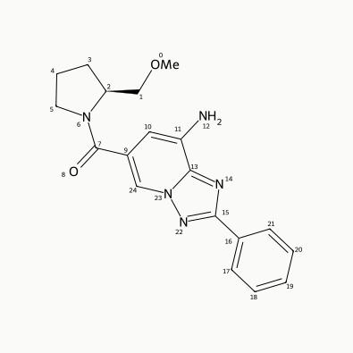 COC[C@@H]1CCCN1C(=O)c1cc(N)c2nc(-c3ccccc3)nn2c1